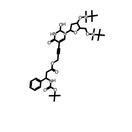 CC(C)(C)OC(=O)NC(CC(=O)OCC#CC1=CN(C2CC(O[Si](C)(C)C(C)(C)C)C(CO[Si](C)(C)C(C)(C)C)O2)C(O)NC1=O)c1ccccc1